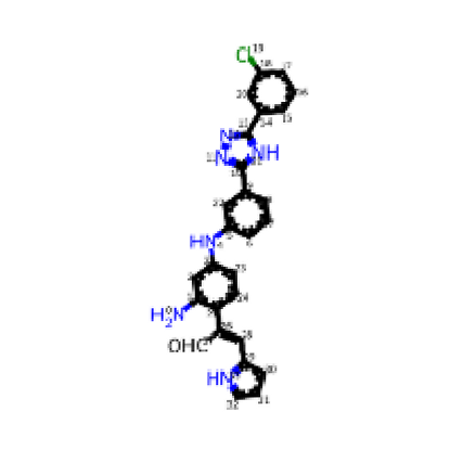 Nc1cc(Nc2cccc(-c3nnc(-c4cccc(Cl)c4)[nH]3)c2)ccc1/C(C=O)=C/c1ccc[nH]1